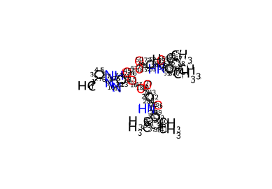 C#Cc1cccc(Nc2ncnc3cc(OCCOC(=O)c4ccc(C(=O)Nc5ccc6c(c5)C(C)(C)CCC6(C)C)cc4)c(OCCOC(=O)c4ccc(C(=O)Nc5ccc6c(c5)C(C)(C)CCC6(C)C)cc4)cc23)c1